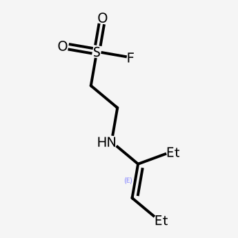 CC/C=C(\CC)NCCS(=O)(=O)F